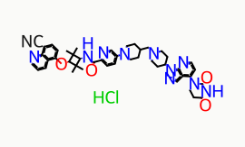 CC1(C)[C@H](NC(=O)c2ccc(N3CCC(CN4CCC(n5ncc6c(N7CCC(=O)NC7=O)ccnc65)CC4)CC3)cn2)C(C)(C)[C@H]1Oc1ccc(C#N)c2ncccc12.Cl